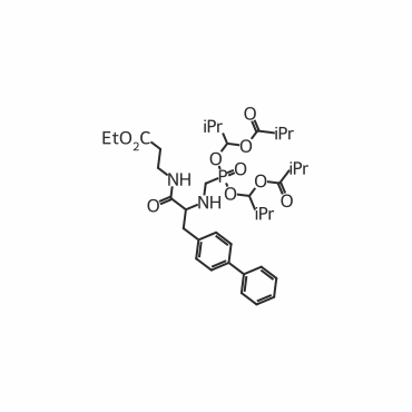 CCOC(=O)CCNC(=O)C(Cc1ccc(-c2ccccc2)cc1)NCP(=O)(OC(OC(=O)C(C)C)C(C)C)OC(OC(=O)C(C)C)C(C)C